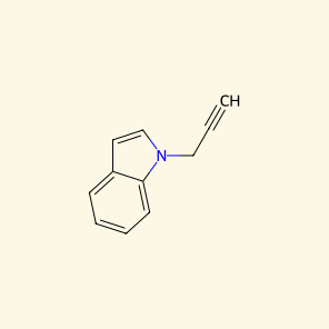 C#CCn1ccc2ccccc21